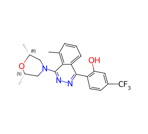 Cc1cccc2c(-c3ccc(C(F)(F)F)cc3O)nnc(N3C[C@@H](C)O[C@@H](C)C3)c12